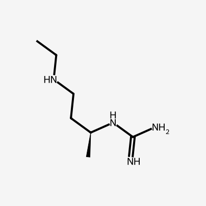 CCNCC[C@H](C)NC(=N)N